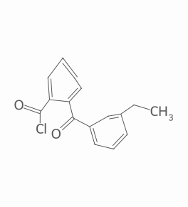 CCc1cccc(C(=O)c2ccccc2C(=O)Cl)c1